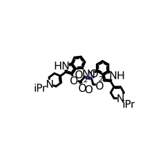 CC(C)N1CC=C(c2[nH]c3cccc([N+](=O)[O-])c3c2OC(=O)/C=C\C(=O)Oc2c(C3=CCN(C(C)C)CC3)[nH]c3cccc([N+](=O)[O-])c23)CC1